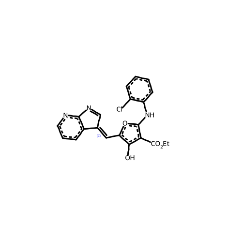 CCOC(=O)c1c(Nc2ccccc2Cl)oc(/C=C2\C=Nc3ncccc32)c1O